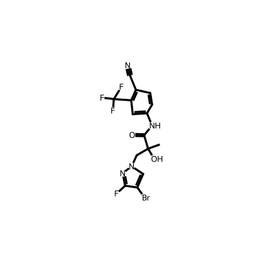 CC(O)(Cn1cc(Br)c(F)n1)C(=O)Nc1ccc(C#N)c(C(F)(F)F)c1